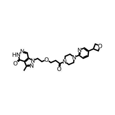 Cc1nn(CCOCCC(=O)N2CCN(c3ccc(C4COC4)cn3)CC2)c2cn[nH]c(=O)c12